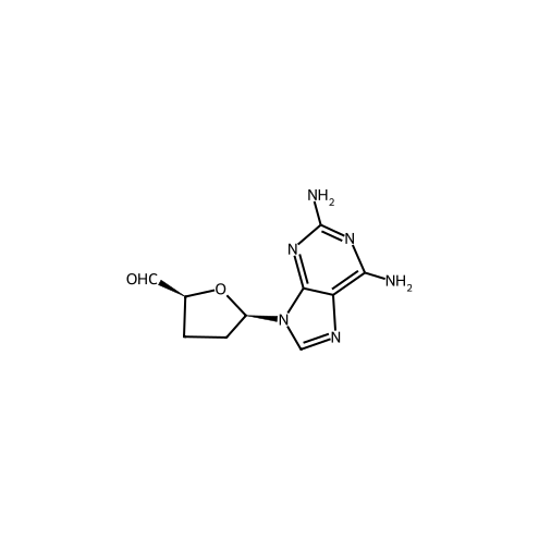 Nc1nc(N)c2ncn([C@H]3CC[C@@H](C=O)O3)c2n1